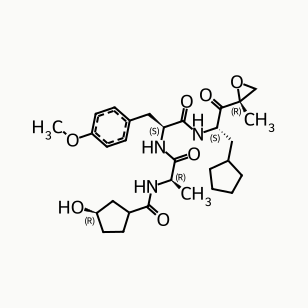 COc1ccc(C[C@H](NC(=O)[C@@H](C)NC(=O)C2CC[C@@H](O)C2)C(=O)N[C@@H](CC2CCCC2)C(=O)[C@@]2(C)CO2)cc1